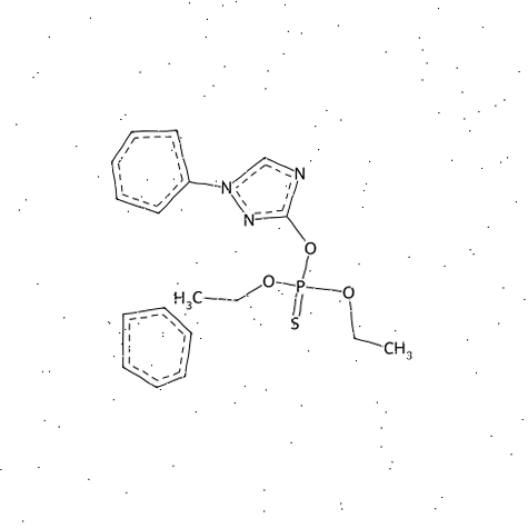 CCOP(=S)(OCC)Oc1ncn(-c2ccccc2)n1.c1ccccc1